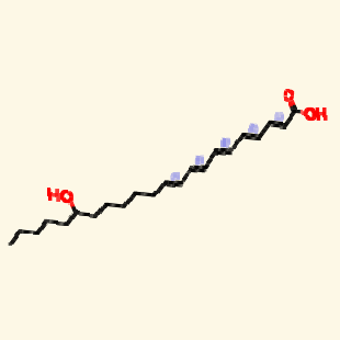 CCCCCC(O)CCCCC/C=C/C=C/C=C/C=C/C=C/C(=O)O